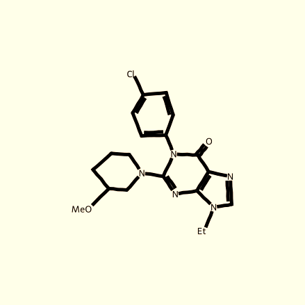 CCn1cnc2c(=O)n(-c3ccc(Cl)cc3)c(N3CCCC(OC)C3)nc21